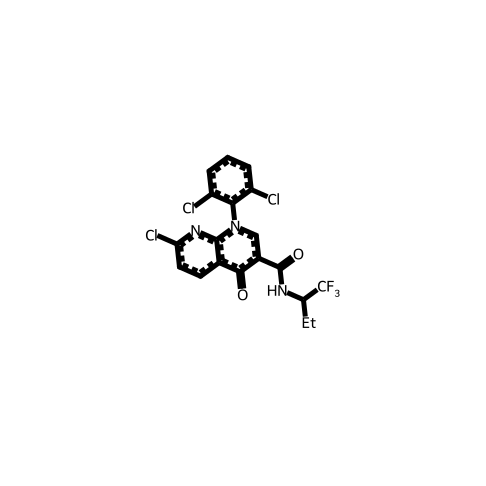 CCC(NC(=O)c1cn(-c2c(Cl)cccc2Cl)c2nc(Cl)ccc2c1=O)C(F)(F)F